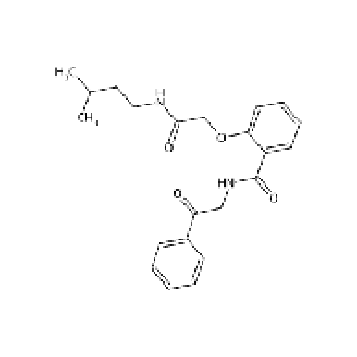 CC(C)CCNC(=O)COc1ccccc1C(=O)NCC(=O)c1ccccc1